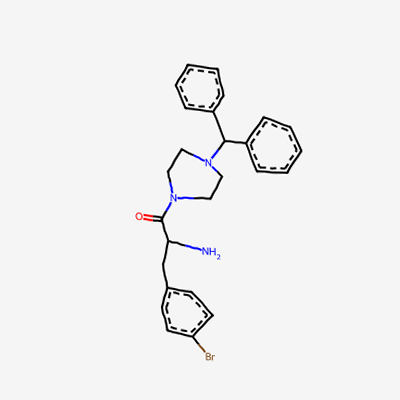 NC(Cc1ccc(Br)cc1)C(=O)N1CCN(C(c2ccccc2)c2ccccc2)CC1